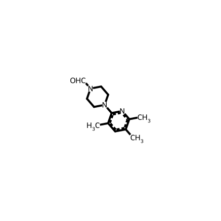 Cc1cc(C)c(N2CCN(C=O)CC2)nc1C